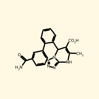 CC1=C(C(=O)O)C(c2ccccc2-c2cccc(C(N)=O)c2)n2nnnc2N1